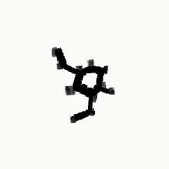 C=Cc1ccc(C)c(C=C)c1